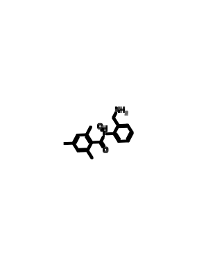 Cc1cc(C)c(C(=O)[PH](=O)c2ccccc2CN)c(C)c1